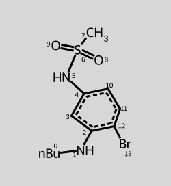 CCCCNc1cc(NS(C)(=O)=O)ccc1Br